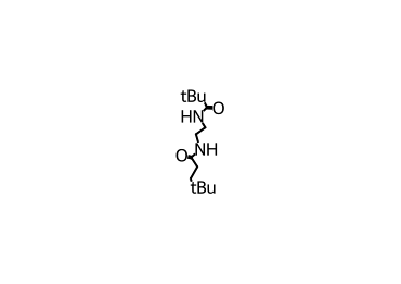 CC(C)(C)CCC(=O)NCCNC(=O)C(C)(C)C